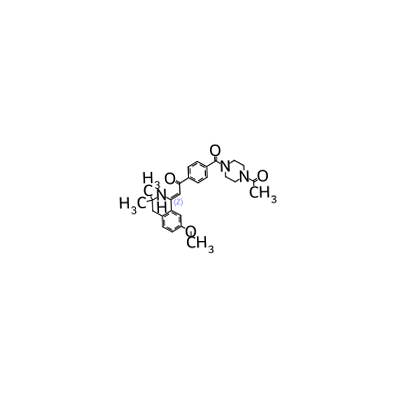 COc1ccc2c(c1)/C(=C/C(=O)c1ccc(C(=O)N3CCN(C(C)=O)CC3)cc1)NC(C)(C)C2